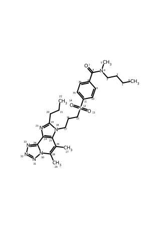 CCCCN(C)C(=O)c1ccc(S(=O)(=O)CCCn2c(CCC)nc3c2c(C)c(C)n2nnnc32)cc1